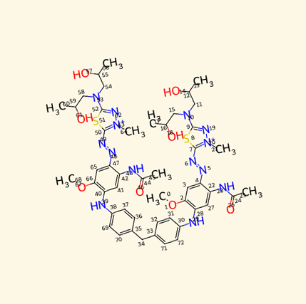 COc1cc(N=Nc2sc(N(CC(C)O)CC(C)O)n[n+]2C)c(NC(C)=O)cc1Nc1ccc(Cc2ccc(Nc3cc(NC(C)=O)c(N=Nc4sc(N(CC(C)O)CC(C)O)n[n+]4C)cc3OC)cc2)cc1